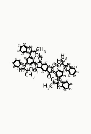 CC(C)c1nc2ccccc2n1-c1cc(-n2c(=O)c3cc4c(=O)n(-c5cc(-n6c(C(C)C)nc7ccccc76)cc(-n6c(C(C)O)nc7ccccc76)c5)c(=O)c4cc3c2=O)cc(-n2c(C(C)O)nc3ccccc32)c1